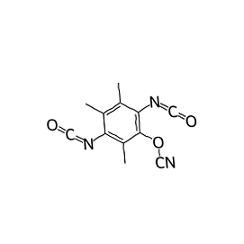 Cc1c(C)c(N=C=O)c(OC#N)c(C)c1N=C=O